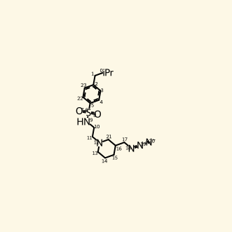 CC(C)Cc1ccc(S(=O)(=O)NCCN2CCCC(CN=[N+]=[N-])C2)cc1